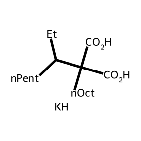 CCCCCCCCC(C(=O)O)(C(=O)O)C(CC)CCCCC.[KH]